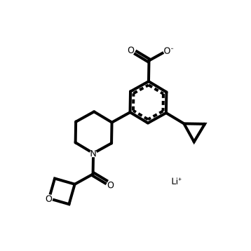 O=C([O-])c1cc(C2CC2)cc(C2CCCN(C(=O)C3COC3)C2)c1.[Li+]